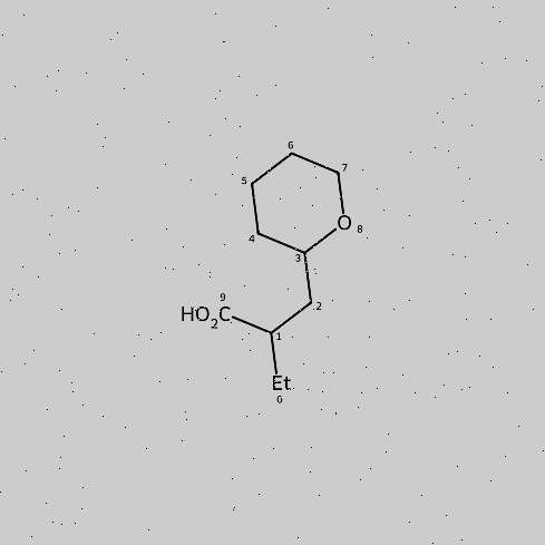 CCC(CC1CCCCO1)C(=O)O